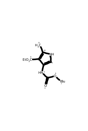 CCOC(=O)c1c(NC(=O)OC(C)(C)C)c[nH]c1C